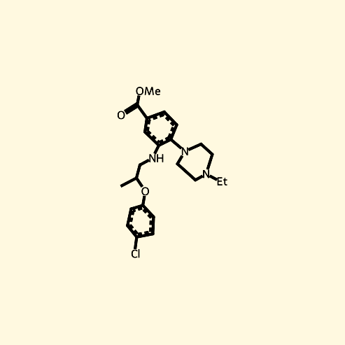 CCN1CCN(c2ccc(C(=O)OC)cc2NCC(C)Oc2ccc(Cl)cc2)CC1